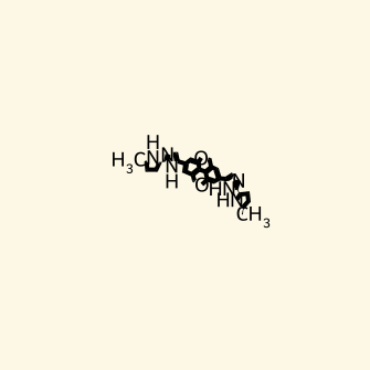 C[C@H]1CC[C@@H](c2ncc(-c3cc4c5c(c3)OCc3cc(-c6cnc([C@@H]7CC[C@H](C)N7)[nH]6)cc(c3-5)OC4)[nH]2)N1